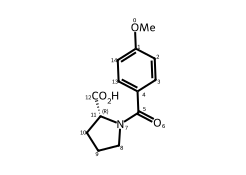 COc1ccc(C(=O)N2CCC[C@@H]2C(=O)O)cc1